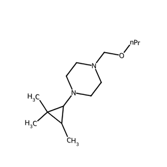 CCCOCN1CCN(C2C(C)C2(C)C)CC1